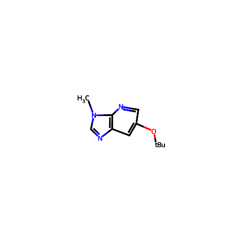 Cn1cnc2cc(OC(C)(C)C)cnc21